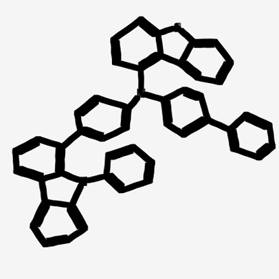 c1ccc(-c2ccc(N(c3ccc(-c4cccc5c6ccccc6n(-c6ccccc6)c45)cc3)c3cccc4sc5ccccc5c34)cc2)cc1